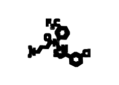 CN(C)CCCC(=O)N(c1cccc(C(F)(F)F)c1)c1nc(-c2cccc(Cl)c2)cs1